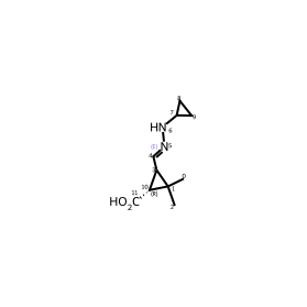 CC1(C)C(/C=N/NC2CC2)[C@H]1C(=O)O